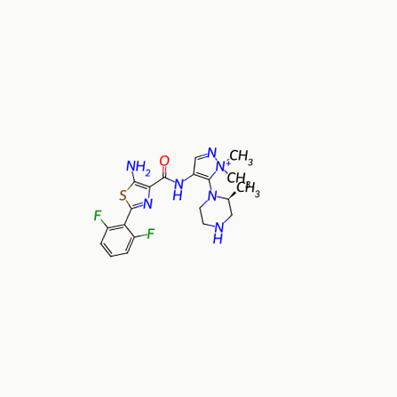 C[C@H]1CNCCN1C1=C(NC(=O)c2nc(-c3c(F)cccc3F)sc2N)C=N[N+]1(C)C